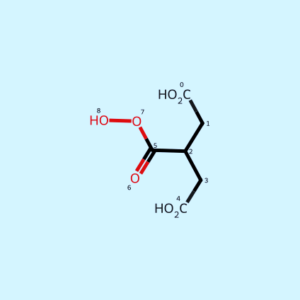 O=C(O)CC(CC(=O)O)C(=O)OO